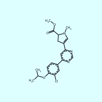 COC(=O)C1CC(c2cc(-c3ccc(OC(C)C)c(Cl)c3)ncn2)=CN1C